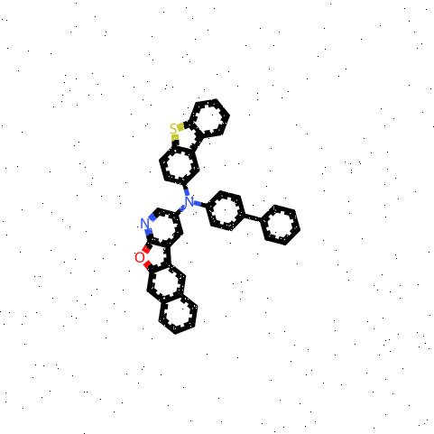 c1ccc(-c2ccc(N(c3cnc4oc5cc6ccccc6cc5c4c3)c3ccc4sc5ccccc5c4c3)cc2)cc1